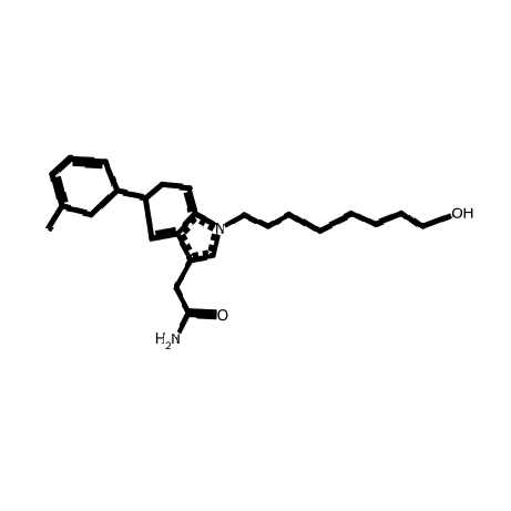 CC1=CC=CC(C2C=c3c(CC(N)=O)cn(CCCCCCCCO)c3=CC2)C1